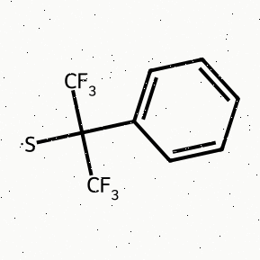 FC(F)(F)C([S])(c1ccccc1)C(F)(F)F